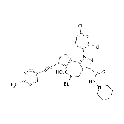 CCN(Cc1c(C(=O)NN2CCCCC2)nn(-c2ccc(Cl)cc2Cl)c1-c1ccc(C#Cc2ccc(C(F)(F)F)cc2)s1)C(=O)O